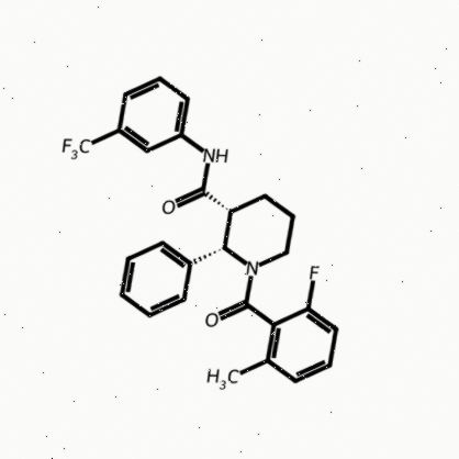 Cc1cccc(F)c1C(=O)N1CCC[C@@H](C(=O)Nc2cccc(C(F)(F)F)c2)[C@H]1c1ccccc1